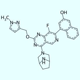 Cn1ccc(COc2nc(N3CC4CCC(C3)N4)c3cnc(-c4cc(O)cc5ccccc45)c(F)c3n2)n1